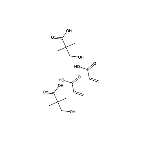 C=CC(=O)O.C=CC(=O)O.CC(C)(CO)C(=O)O.CC(C)(CO)C(=O)O